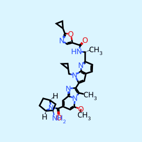 COc1cc(C(=O)N2[C@H]3CC[C@@H]2[C@H](N)C3)cc2nc(-c3cc4ccc([C@@H](C)NC(=O)c5cnc(C6CC6)o5)nc4n3CC3CC3)c(C)n12